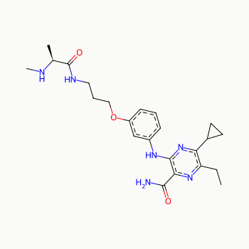 CCc1nc(C(N)=O)c(Nc2cccc(OCCCNC(=O)[C@H](C)NC)c2)nc1C1CC1